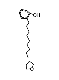 C1CCOC1.CCCCCCCCCc1ccccc1O